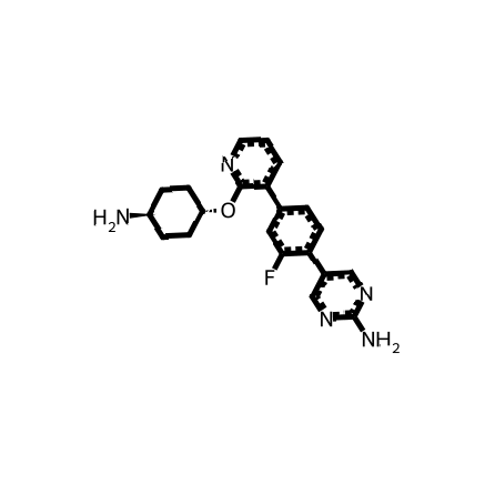 Nc1ncc(-c2ccc(-c3cccnc3O[C@H]3CC[C@H](N)CC3)cc2F)cn1